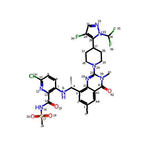 Cc1cc([C@@H](C)Nc2ccc(Cl)nc2C(=O)NS(C)(=O)=O)c2nc(N3CCC(c4c(F)cnn4C(F)F)CC3)n(C)c(=O)c2c1